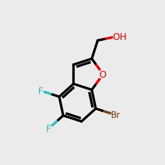 OCc1cc2c(F)c(F)cc(Br)c2o1